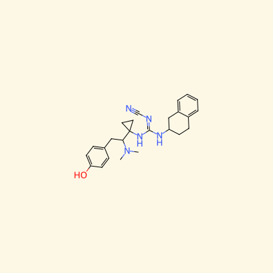 CN(C)C(Cc1ccc(O)cc1)C1(NC(=NC#N)NC2CCc3ccccc3C2)CC1